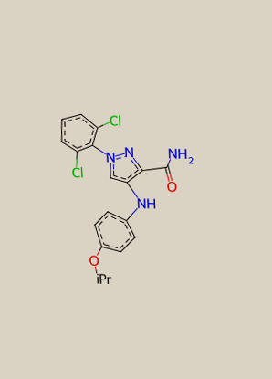 CC(C)Oc1ccc(Nc2cn(-c3c(Cl)cccc3Cl)nc2C(N)=O)cc1